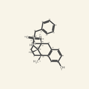 CN1CC[C@@]2(C)c3cc(O)ccc3C[C@@H]1[C@H]2NS(=O)(=O)Cc1ccccc1